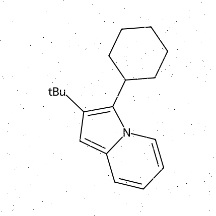 CC(C)(C)c1cc2ccccn2c1C1CCCCC1